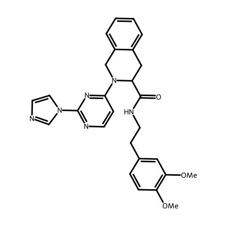 COc1ccc(CCNC(=O)C2Cc3ccccc3CN2c2ccnc(-n3ccnc3)n2)cc1OC